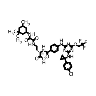 CC1CC(NC(=O)C(=O)NCC[C@H](NC(=O)c2ccc(Nc3nc(NC4(c5ccc(Cl)cc5)CC4)nc(OCC(F)(F)F)n3)cc2)C(=O)O)CC(C)(C)C1